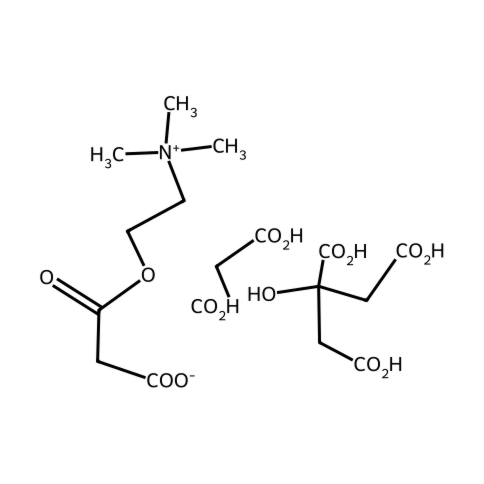 C[N+](C)(C)CCOC(=O)CC(=O)[O-].O=C(O)CC(=O)O.O=C(O)CC(O)(CC(=O)O)C(=O)O